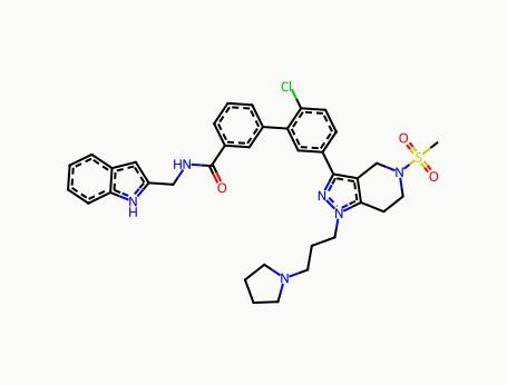 CS(=O)(=O)N1CCc2c(c(-c3ccc(Cl)c(-c4cccc(C(=O)NCc5cc6ccccc6[nH]5)c4)c3)nn2CCCN2CCCC2)C1